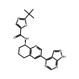 CC(C)(C)c1ncc(C(=O)N[C@@H]2CCCc3cc(-c4ncnc5[nH]ncc45)cnc32)s1